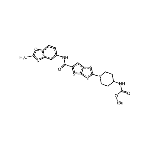 Cc1nc2cc(NC(=O)c3cc4sc(N5CCC(NC(=O)OC(C)(C)C)CC5)nc4s3)ccc2o1